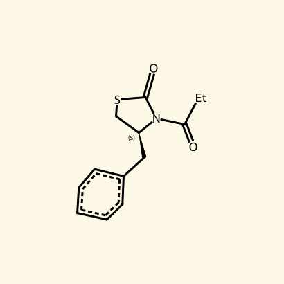 CCC(=O)N1C(=O)SC[C@@H]1Cc1ccccc1